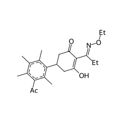 CCON=C(CC)C1=C(O)CC(c2c(C)c(C)c(C)c(C(C)=O)c2C)CC1=O